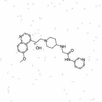 COc1ccc2nccc([C@@H](O)CN3CCC(NCC(=O)Nc4cccnc4)CC3)c2c1